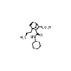 C=CCC12C=CC(C1)C(C(=O)O)C2C(=O)NC1CCCCC1